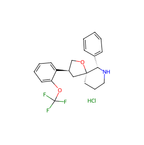 Cl.FC(F)(F)Oc1ccccc1[C@H]1CO[C@]2(CCCN[C@H]2c2ccccc2)C1